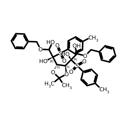 Cc1ccc(S(=O)(=O)[C@@](O)(C(O)OCc2ccccc2)[C@H]2OC(C)(C)O[C@@H]2[C@](O)(C(O)OCc2ccccc2)S(=O)(=O)c2ccc(C)cc2)cc1